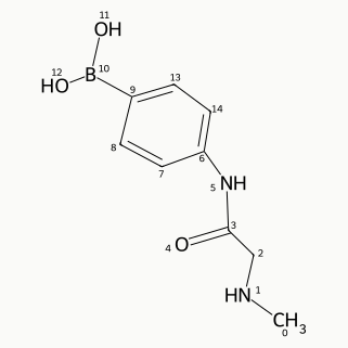 CNCC(=O)Nc1ccc(B(O)O)cc1